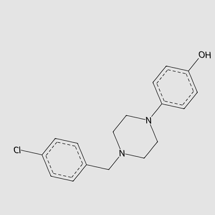 Oc1ccc(N2CCN(Cc3ccc(Cl)cc3)CC2)cc1